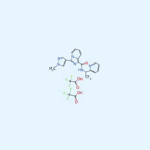 Cn1cc(-c2nc(C(=O)NC(c3ccccn3)C(F)(F)F)c3ccccn23)cn1.O=C(O)C(F)(F)F.O=C(O)C(F)(F)F